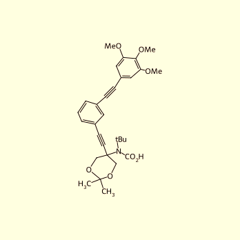 COc1cc(C#Cc2cccc(C#CC3(N(C(=O)O)C(C)(C)C)COC(C)(C)OC3)c2)cc(OC)c1OC